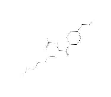 CNCCCSC[C@H](NC(C)=O)C(=O)N1CCC(CCO)CC1